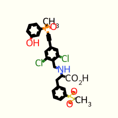 CP(=O)(C#Cc1cc(Cl)c(CNC(Cc2cccc(S(C)(=O)=O)c2)C(=O)O)c(Cl)c1)c1cccc(O)c1